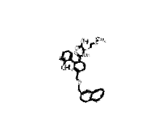 CSCC[C@H](NC(=O)c1ccc(COCc2ccc3ccccc3c2)cc1-c1ccccc1C)C(=O)O